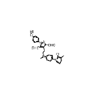 CCOc1ccc(-n2nc(C=O)c(CCN(C)c3ccc(-n4cccc(C)c4=O)cc3)c2C=O)cc1